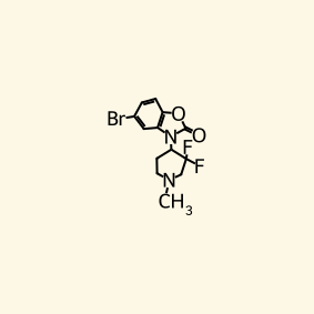 CN1CCC(n2c(=O)oc3ccc(Br)cc32)C(F)(F)C1